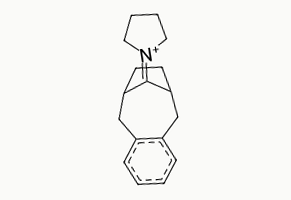 c1ccc2c(c1)CC1CCC(C2)C1=[N+]1CCCC1